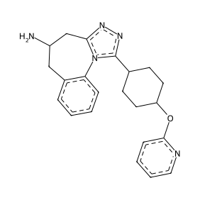 NC1Cc2ccccc2-n2c(nnc2C2CCC(Oc3ccccn3)CC2)C1